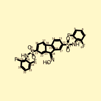 O=S(=O)(Nc1c(F)cccc1F)c1ccc2c(c1)C(=NO)c1cc(S(=O)(=O)Nc3c(F)cccc3F)ccc1-2